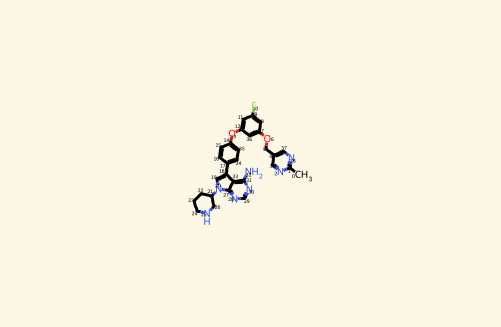 Cc1ncc(COc2cc(F)cc(Oc3ccc(-c4cn(C5CCCNC5)c5ncnc(N)c45)cc3)c2)cn1